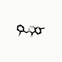 Cc1ccc(C(=O)NCc2ccccc2F)c(N)n1